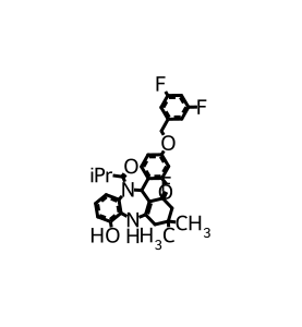 CC(C)C(=O)N1c2cccc(O)c2NC2=C(C(=O)CC(C)(C)C2)C1c1ccc(OCc2cc(F)cc(F)c2)cc1F